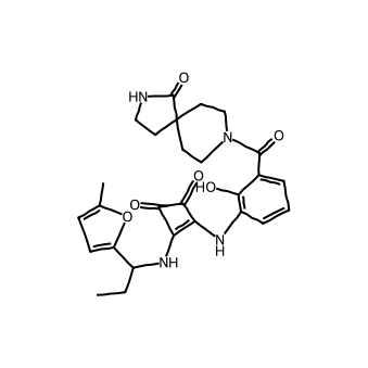 CCC(Nc1c(Nc2cccc(C(=O)N3CCC4(CCNC4=O)CC3)c2O)c(=O)c1=O)c1ccc(C)o1